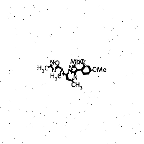 COc1ccc(-c2c(C)nn3c(N(C)Cc4nc(C)no4)cc(C)nc23)c(OC)c1